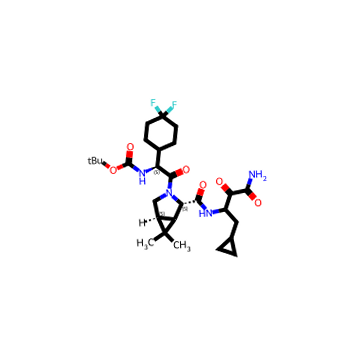 CC(C)(C)OC(=O)N[C@H](C(=O)N1C[C@H]2C([C@H]1C(=O)NC(CC1CC1)C(=O)C(N)=O)C2(C)C)C1CCC(F)(F)CC1